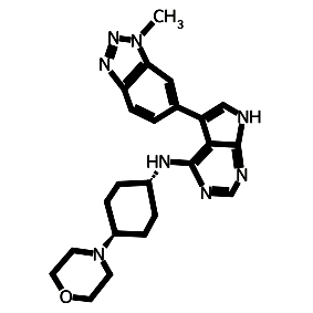 Cn1nnc2ccc(-c3c[nH]c4ncnc(N[C@H]5CC[C@H](N6CCOCC6)CC5)c34)cc21